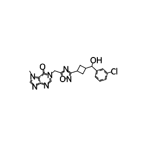 Cn1cnc2ncn(Cc3nc(C4CC(C(O)c5cccc(Cl)c5)C4)no3)c(=O)c21